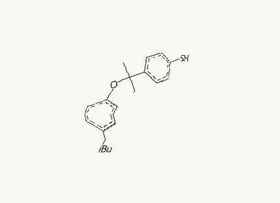 CCC(C)c1ccc(OC(C)(C)c2ccc(S)cc2)cc1